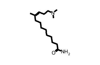 CC(=CCCN(C)C)CCCCCCCCC(N)=O